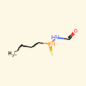 CCCC[PH](=S)NC=O